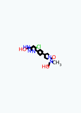 CN(CCO)C(=O)N1CC=C(c2ccc(-c3nc4nc(O)[nH]c4cc3Cl)cc2)CC1